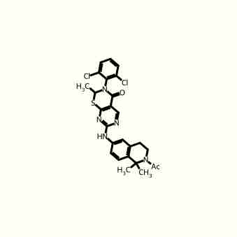 CC(=O)N1CCc2cc(Nc3ncc4c(n3)SC(C)N(c3c(Cl)cccc3Cl)C4=O)ccc2C1(C)C